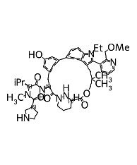 CCn1c(-c2cccnc2COC)c2c3cc(ccc31)-c1cc(O)cc(c1)C[C@H](NC(=O)[C@H](C(C)C)N(C)C(=O)[C@H]1CCNC1)C(=O)N1CCC[C@H](N1)C(=O)OCC(C)(C)C2